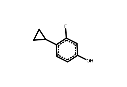 Oc1ccc(C2CC2)c(F)c1